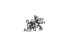 CC(=O)O[C@@H]1C(=O)O[C@@H]2[C@H]1OC(=O)[C@@H]2OC(C)=O.O[C@@H]([C@H](O)[C@H](O)CBr)[C@H](O)CBr